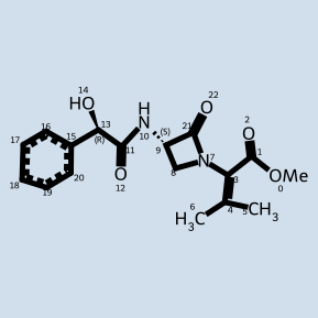 COC(=O)C(=C(C)C)N1C[C@H](NC(=O)[C@H](O)c2ccccc2)C1=O